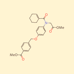 COC(=O)CN(C(=O)C1=CCCCC1)c1ccc(OCc2ccc(C(=O)OC)cc2)cc1